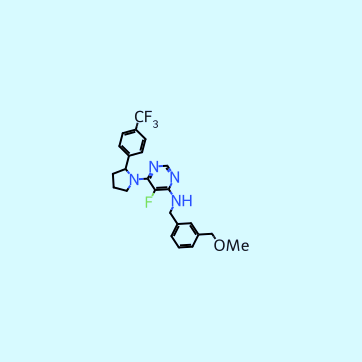 COCc1cccc(CNc2ncnc(N3CCCC3c3ccc(C(F)(F)F)cc3)c2F)c1